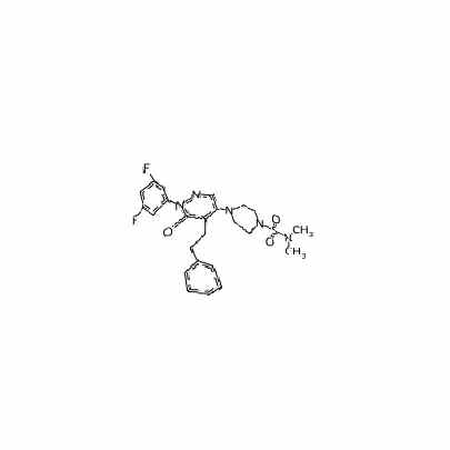 CN(C)S(=O)(=O)N1CCN(c2cnn(-c3cc(F)cc(F)c3)c(=O)c2CCc2ccccc2)CC1